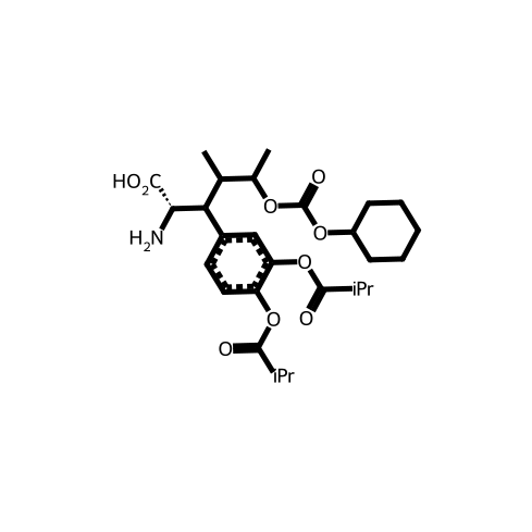 CC(C)C(=O)Oc1ccc(C(C(C)C(C)OC(=O)OC2CCCCC2)[C@H](N)C(=O)O)cc1OC(=O)C(C)C